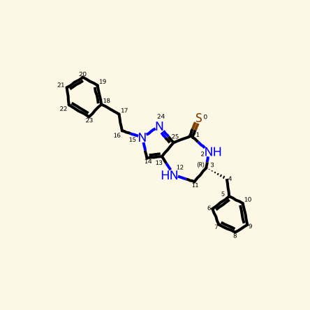 S=C1N[C@H](Cc2ccccc2)CNc2cn(CCc3ccccc3)nc21